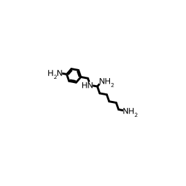 NCCCCCC(N)NCc1ccc(N)cc1